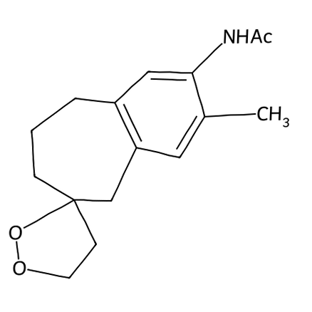 CC(=O)Nc1cc2c(cc1C)CC1(CCC2)CCOO1